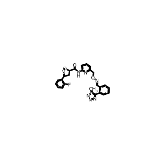 Cn1nnnc1-c1ccccc1C=NOCc1cccc(NC(=O)C2CC(c3ccccc3F)=NO2)n1